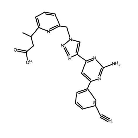 CC(CC(=O)O)c1cccc(Cn2cc(-c3cc(-c4cccc(C#N)c4)nc(N)n3)nn2)n1